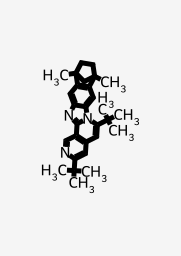 CC(C)(C)c1cc2cc(C(C)(C)C)n3c4cc5c(cc4nc3c2cn1)C1(C)CCC5(C)C1